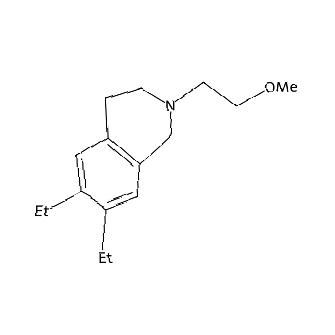 CCc1cc2c(cc1CC)CN(CCOC)CC2